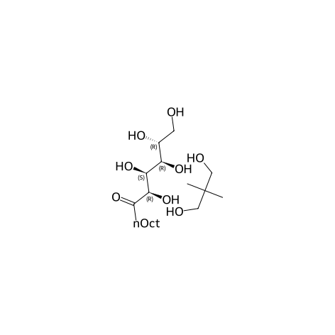 CC(C)(CO)CO.CCCCCCCCC(=O)[C@H](O)[C@@H](O)[C@H](O)[C@H](O)CO